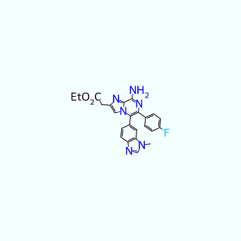 CCOC(=O)Cc1cn2c(-c3ccc4ncn(C)c4c3)c(-c3ccc(F)cc3)nc(N)c2n1